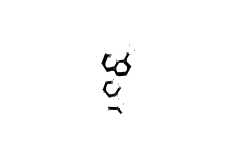 CC(CO)NC1C[C@H](C)CN(c2ccc(C#N)c3ncccc23)C1